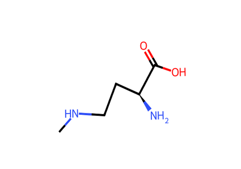 CNCC[C@H](N)C(=O)O